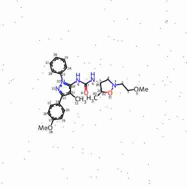 COCCN1C[C@@H](NC(=O)Nc2c(C)c(-c3ccc(OC)cc3)nn2-c2ccccc2)[C@H](C)O1